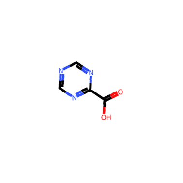 O=C(O)c1ncncn1